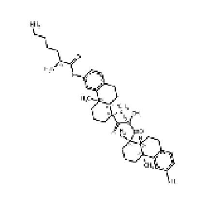 CN(C(=O)[C@@]1(C)CCC[C@]2(C)c3cc(N)ccc3CC[C@@H]12)C(=O)[C@@]1(C)CCC[C@]2(C)c3cc(NC(=O)[C@@H](N)CCCCN)ccc3CC[C@@]12C